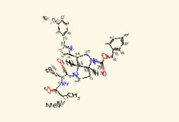 CN[C@@H](C)C(=O)N[C@H](C(=O)N1CC[C@@H]2[C@H]1[C@@H](c1csc(-c3cccc(C(F)(F)F)c3)n1)CN2C(=O)OCc1ccccc1)C(C)(C)C